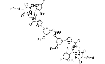 CCCCC[C@@H](C(=O)NCNC(=O)c1ccc(-c2cc(OCC)cc(O[PH](=O)Oc3cc(OCC)cc(-c4ccc(C(=O)NCNC(=O)[C@H](CCCCC)[C@@H](CC)N(C=O)OC(=O)c5ccc(F)cc5C(C)C)o4)c3)c2)o1)[C@@H](CC)N(C=O)OC(=O)c1ccc(F)cc1C(C)C